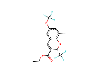 CCOC(=O)C1=Cc2cc(OC(F)(F)F)cc(C)c2O[C@@H]1C(F)(F)F